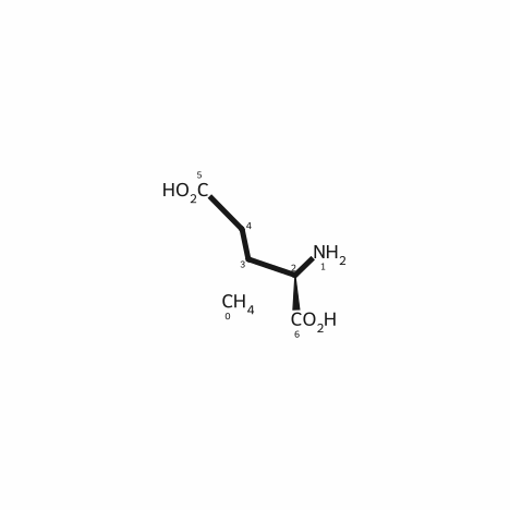 C.N[C@H](CCC(=O)O)C(=O)O